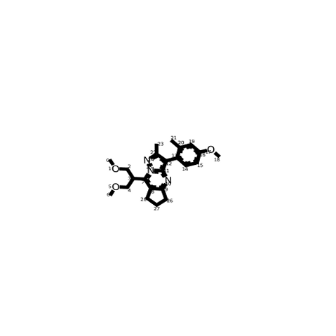 COCC(COC)c1c2c(nc3c(-c4ccc(OC)cc4C)c(C)nn13)CCC2